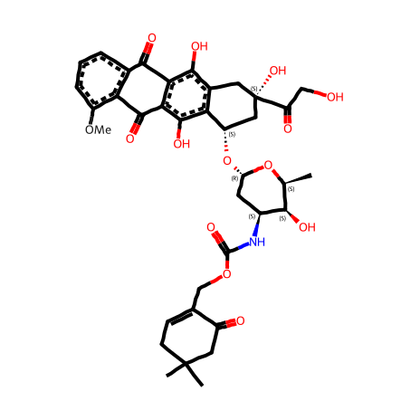 COc1cccc2c1C(=O)c1c(O)c3c(c(O)c1C2=O)C[C@@](O)(C(=O)CO)C[C@@H]3O[C@H]1C[C@H](NC(=O)OCC2=CCC(C)(C)CC2=O)[C@H](O)[C@H](C)O1